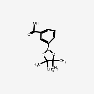 CC1(C)OB(c2cccc(C(=O)O)c2)OC1(C)C